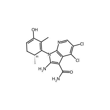 CC1=C(n2c(N)c(C(N)=O)c3c(Cl)c(Cl)cnc32)[C@H](C)CC=C1O